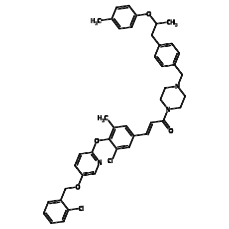 Cc1ccc(OC(C)Cc2ccc(CN3CCN(C(=O)C=Cc4cc(C)c(Oc5ccc(OCc6ccccc6Cl)cn5)c(Cl)c4)CC3)cc2)cc1